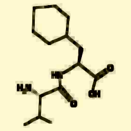 CC(C)[C@H](N)C(=O)N[C@@H](CC1CCCCC1)C(=O)O